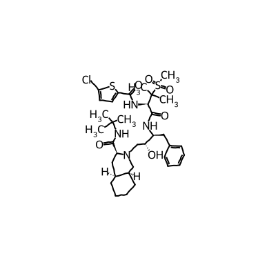 CC(C)(C)NC(=O)[C@@H]1C[C@@H]2CCCC[C@@H]2CN1C[C@@H](O)[C@H](Cc1ccccc1)NC(=O)[C@@H](NC(=O)c1ccc(Cl)s1)C(C)(C)S(C)(=O)=O